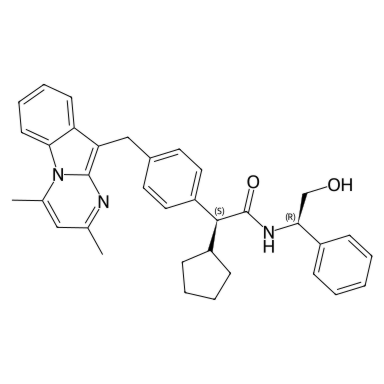 Cc1cc(C)n2c(n1)c(Cc1ccc([C@@H](C(=O)N[C@@H](CO)c3ccccc3)C3CCCC3)cc1)c1ccccc12